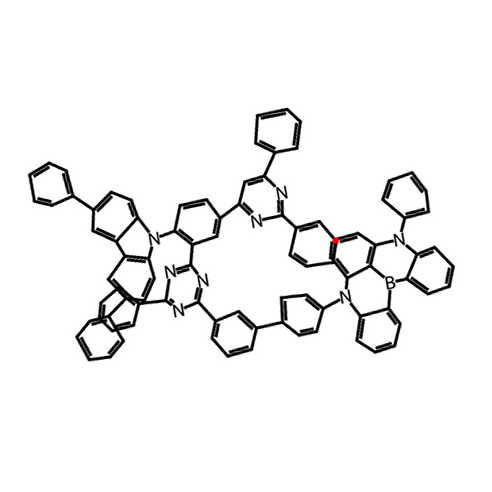 c1ccc(-c2ccc3c(c2)c2cc(-c4ccccc4)ccc2n3-c2ccc(-c3cc(-c4ccccc4)nc(-c4ccccc4)n3)cc2-c2nc(-c3ccccc3)nc(-c3cccc(-c4ccc(N5c6ccccc6B6c7ccccc7N(c7ccccc7)c7cccc5c76)cc4)c3)n2)cc1